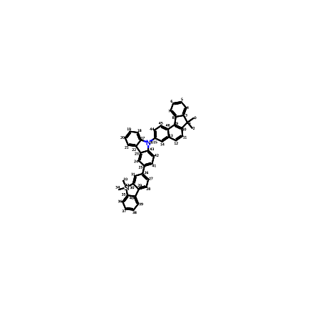 CC1(C)c2ccccc2-c2c1ccc1cc(-n3c4ccccc4c4cc(-c5ccc6c(c5)[Si](C)(C)c5ccccc5-6)ccc43)ccc21